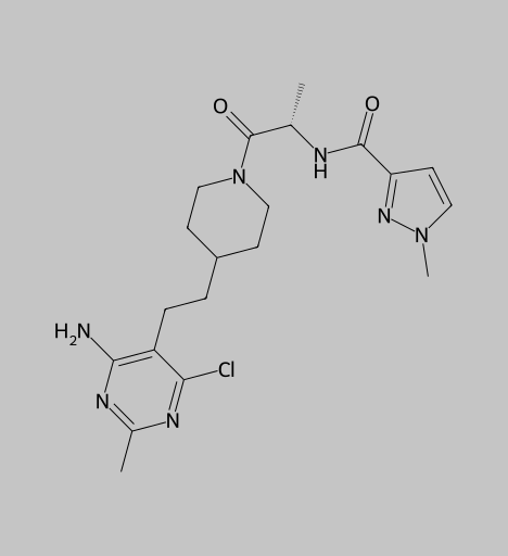 Cc1nc(N)c(CCC2CCN(C(=O)[C@H](C)NC(=O)c3ccn(C)n3)CC2)c(Cl)n1